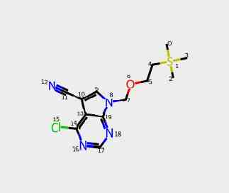 CS(C)(C)CCOCn1cc(C#N)c2c(Cl)ncnc21